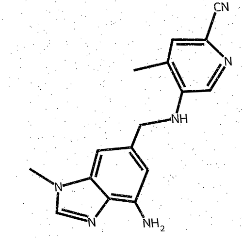 Cc1cc(C#N)ncc1NCc1cc(N)c2ncn(C)c2c1